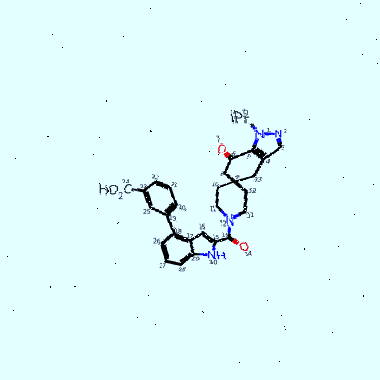 CC(C)n1ncc2c1C(=O)CC1(CCN(C(=O)c3cc4c(-c5cccc(C(=O)O)c5)cccc4[nH]3)CC1)C2